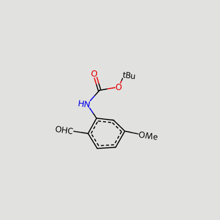 COc1ccc(C=O)c(NC(=O)OC(C)(C)C)c1